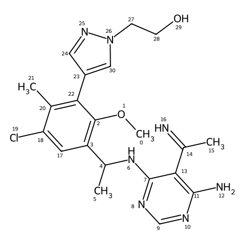 COc1c(C(C)Nc2ncnc(N)c2C(C)=N)cc(Cl)c(C)c1-c1cnn(CCO)c1